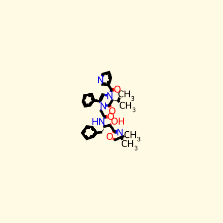 CC(C)[C@@H]1C(=O)N(CC(=O)N[C@@H](Cc2ccccc2)C(O)C2=NC(C)(C)CO2)C(c2ccccc2)=CN1C(=O)c1cccnc1